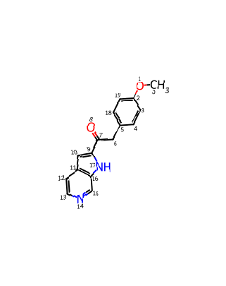 COc1ccc(CC(=O)c2cc3ccncc3[nH]2)cc1